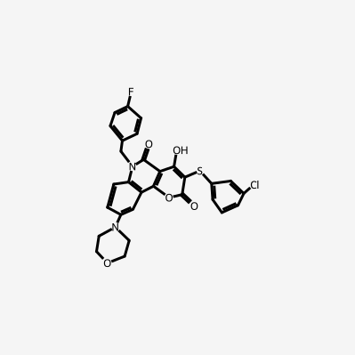 O=c1oc2c(c(O)c1Sc1cccc(Cl)c1)c(=O)n(Cc1ccc(F)cc1)c1ccc(N3CCOCC3)cc21